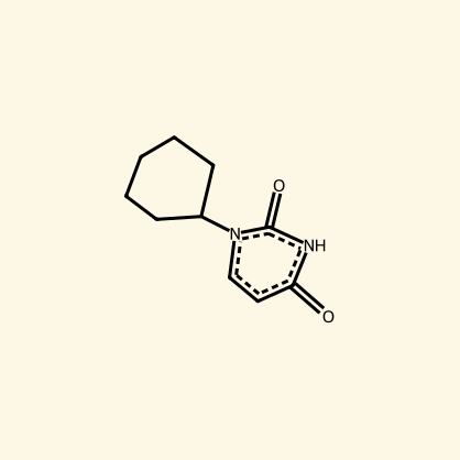 O=c1ccn(C2CCCCC2)c(=O)[nH]1